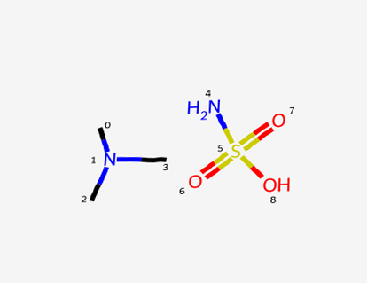 CN(C)C.NS(=O)(=O)O